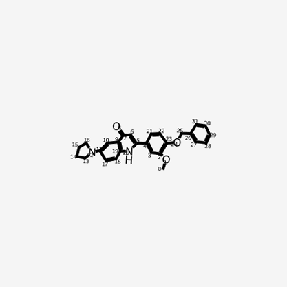 COc1cc(-c2cc(=O)c3cc(N4CCCC4)ccc3[nH]2)ccc1OCc1ccccc1